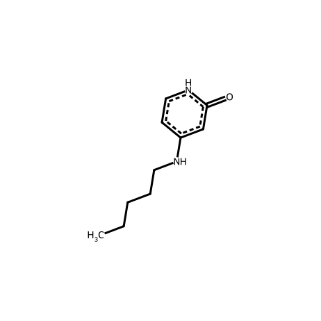 CCCCCNc1cc[nH]c(=O)c1